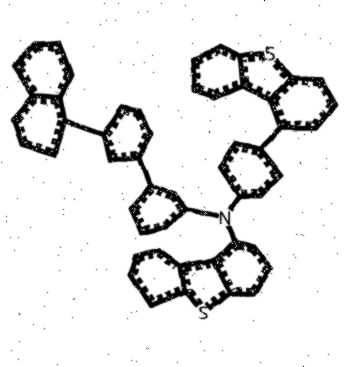 c1cc(-c2cccc(N(c3ccc(-c4cccc5sc6ccccc6c45)cc3)c3cccc4sc5ccccc5c34)c2)cc(-c2cccc3ccccc23)c1